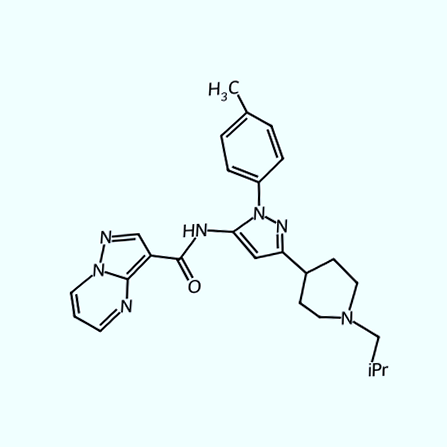 Cc1ccc(-n2nc(C3CCN(CC(C)C)CC3)cc2NC(=O)c2cnn3cccnc23)cc1